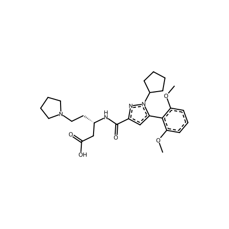 COc1cccc(OC)c1-c1cc(C(=O)N[C@@H](CCN2CCCC2)CC(=O)O)nn1C1CCCC1